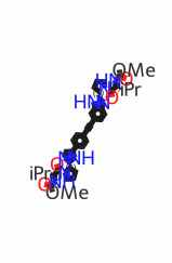 COC(=O)N[C@H](C(=O)N1CCC[C@H]1c1ncc(-c2ccc(C#Cc3ccc4nc([C@@H]5CCCN5C(=O)[C@@H](NC(=O)OC)C(C)C)[nH]c4c3)cc2)[nH]1)C(C)C